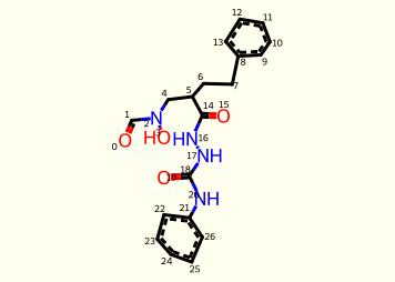 O=CN(O)CC(CCc1ccccc1)C(=O)NNC(=O)Nc1ccccc1